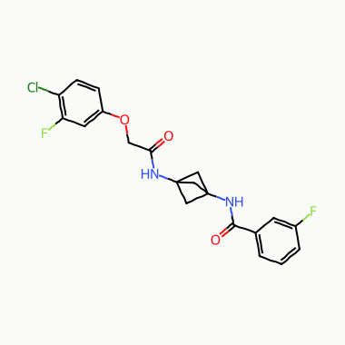 O=C(COc1ccc(Cl)c(F)c1)NC12CC(NC(=O)c3cccc(F)c3)(C1)C2